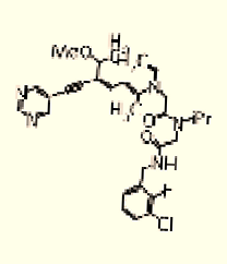 C=CN(CC(=O)N(CC(=O)NCc1cccc(Cl)c1F)C(C)C)/C(C)=C/C=C(/C#Cc1cncnc1)C(C)OC